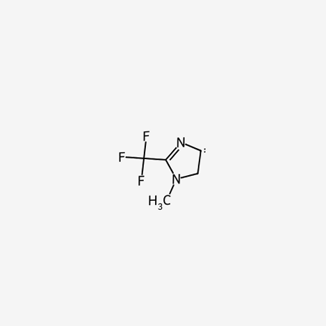 CN1C[C]N=C1C(F)(F)F